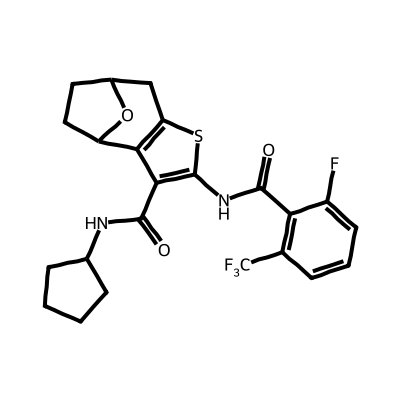 O=C(Nc1sc2c(c1C(=O)NC1CCCC1)C1CCC(C2)O1)c1c(F)cccc1C(F)(F)F